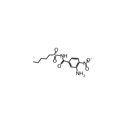 CCCCCS(=O)(=O)NC(=O)c1ccc([N+](=O)[O-])c(N)c1